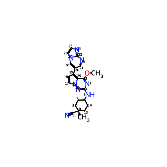 COc1nc(NC2CCC(C)(C#N)CC2)nn2ccc(-c3cnc4nccn4c3)c12